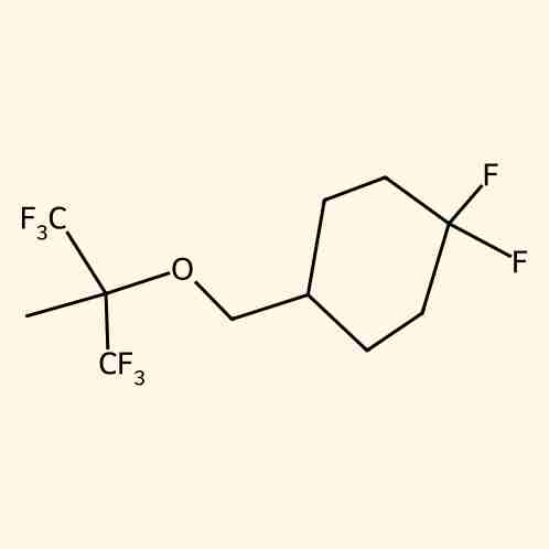 CC(OCC1CCC(F)(F)CC1)(C(F)(F)F)C(F)(F)F